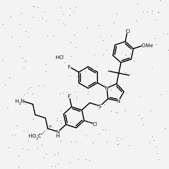 COc1cc(C(C)(C)c2cnc(SCc3c(F)cc(N[C@@H](CCCN)C(=O)O)cc3Cl)n2-c2ccc(F)cc2)ccc1Cl.Cl